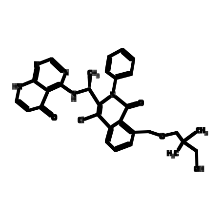 C[C@H](Nc1ncnc2[nH]ccc(=O)c12)c1c(Cl)c2cccc(COCC(C)(C)CO)c2c(=O)n1-c1ccccc1